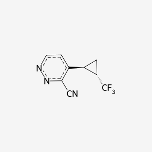 N#Cc1nnccc1[C@H]1C[C@@H]1C(F)(F)F